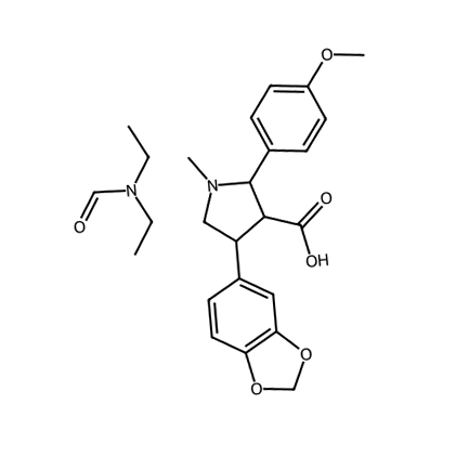 CCN(C=O)CC.COc1ccc(C2C(C(=O)O)C(c3ccc4c(c3)OCO4)CN2C)cc1